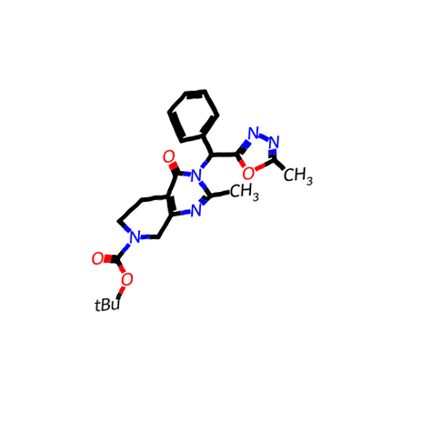 Cc1nnc(C(c2ccccc2)n2c(C)nc3c(c2=O)CCN(C(=O)OC(C)(C)C)C3)o1